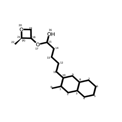 CC1CC2CCCCC2CC1CCCCC(O)OC1CO[C@@H]1C